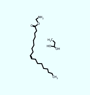 CCC(O)O.CCCCCCCC/C=C\CCCCCCCC(=O)OCN